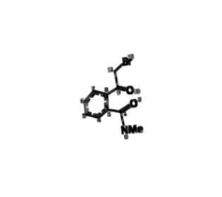 CNC(=O)c1ccccc1C(=O)CBr